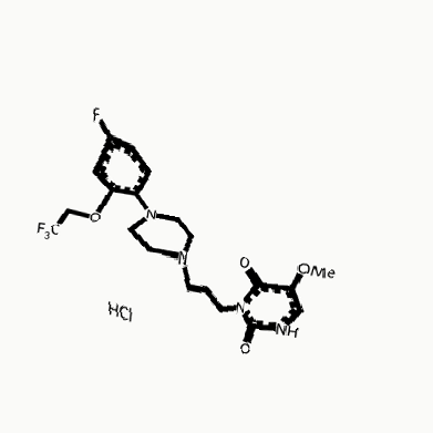 COc1c[nH]c(=O)n(CCCN2CCN(c3ccc(F)cc3OCC(F)(F)F)CC2)c1=O.Cl